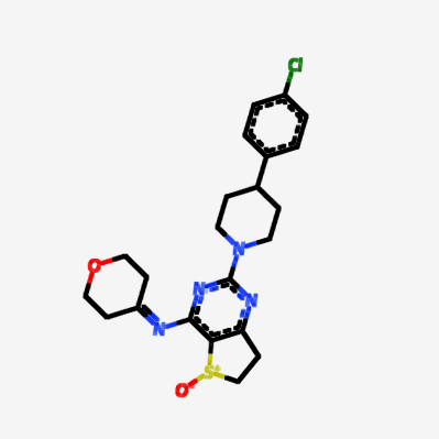 [O-][S+]1CCc2nc(N3CCC(c4ccc(Cl)cc4)CC3)nc(N=C3CCOCC3)c21